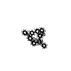 c1ccc(-c2ccc3c(c2)c2c4oc5c(-c6nc(-c7ccccc7)nc(-c7ccc8c(c7)oc7ccccc78)n6)cccc5c4ccc2n3-c2ccccc2)cc1